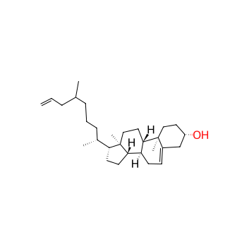 C=CCC(C)CCC[C@@H](C)[C@H]1CC[C@H]2[C@@H]3CC=C4C[C@@H](O)CC[C@]4(C)[C@H]3CC[C@]12C